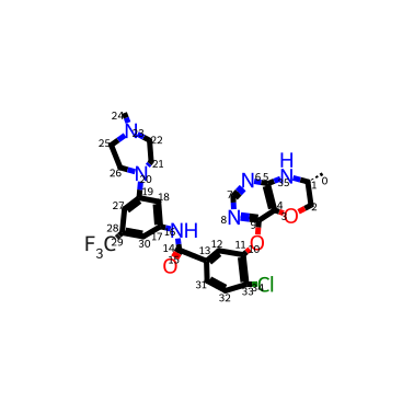 C[C@@H]1COc2c(ncnc2Oc2cc(C(=O)Nc3cc(N4CCN(C)CC4)cc(C(F)(F)F)c3)ccc2Cl)N1